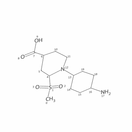 CS(=O)(=O)C1CC(C(=O)O)CCN1C1CCC(N)CC1